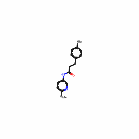 COc1ccc(NC(=O)CCc2ccc(C(C)(C)C)cc2)cn1